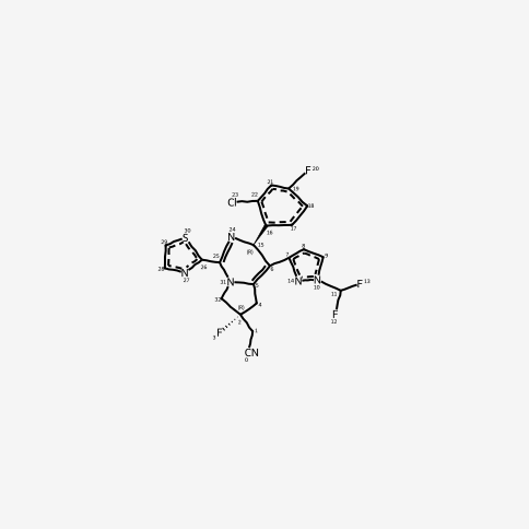 N#CC[C@]1(F)CC2=C(c3ccn(C(F)F)n3)[C@H](c3ccc(F)cc3Cl)N=C(c3nccs3)N2C1